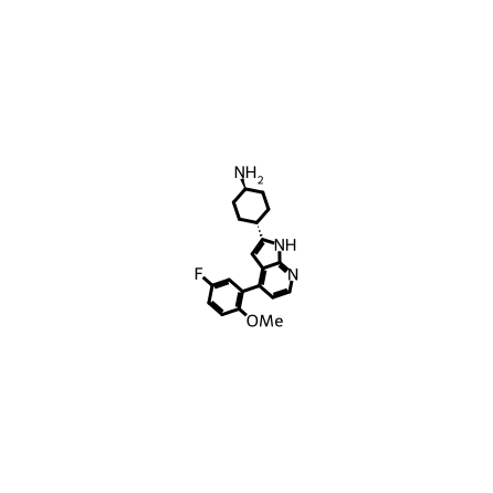 COc1ccc(F)cc1-c1ccnc2[nH]c([C@H]3CC[C@H](N)CC3)cc12